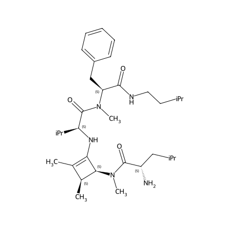 CC1=C(N[C@H](C(=O)N(C)[C@@H](Cc2ccccc2)C(=O)NCCC(C)C)C(C)C)[C@@H](N(C)C(=O)[C@@H](N)CC(C)C)[C@H]1C